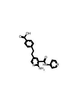 Nc1ncc(CCc2ccc(C(=O)O)cc2)cc1C(=O)Nc1ccncc1